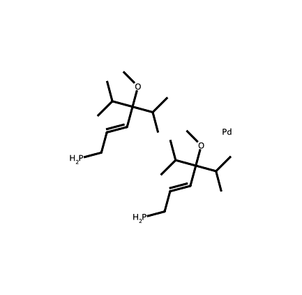 COC(C=CCP)(C(C)C)C(C)C.COC(C=CCP)(C(C)C)C(C)C.[Pd]